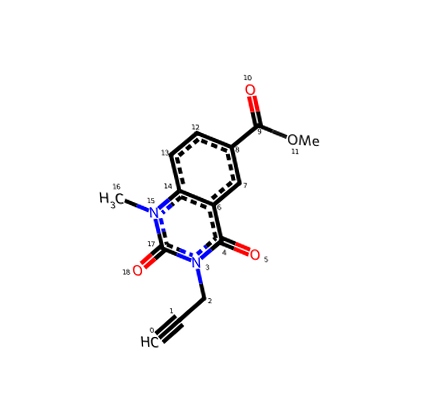 C#CCn1c(=O)c2cc(C(=O)OC)ccc2n(C)c1=O